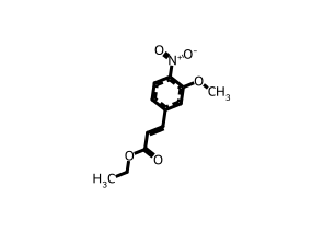 CCOC(=O)C=Cc1ccc([N+](=O)[O-])c(OC)c1